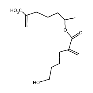 C=C(CCCC(C)OC(=O)C(=C)CCCCO)C(=O)O